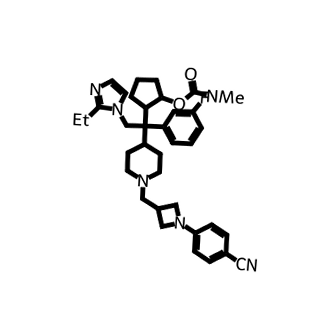 CCc1nccn1CC(c1cccc(F)c1)(C1CCN(CC2CN(c3ccc(C#N)cc3)C2)CC1)C1CCCC1OC(=O)NC